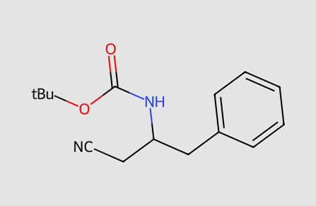 CC(C)(C)OC(=O)NC(CC#N)Cc1ccccc1